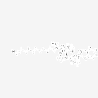 CCCCCCCCCCC[C@@H](O)S(=O)(=O)c1c(C)cc(NC(=O)Cc2ccccc2)c(C)c1C